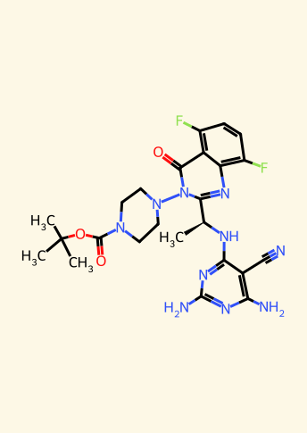 C[C@H](Nc1nc(N)nc(N)c1C#N)c1nc2c(F)ccc(F)c2c(=O)n1N1CCN(C(=O)OC(C)(C)C)CC1